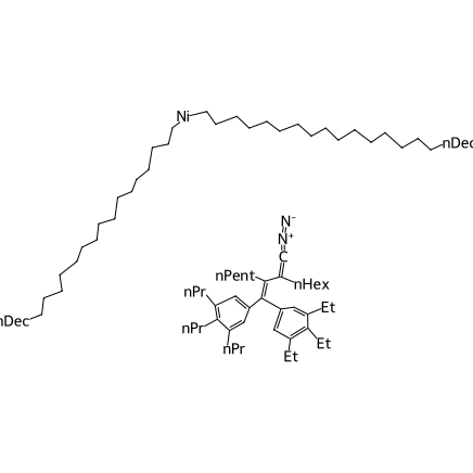 CCCCCCC(=C=[N+]=[N-])C(CCCCC)=C(c1cc(CC)c(CC)c(CC)c1)c1cc(CCC)c(CCC)c(CCC)c1.CCCCCCCCCCCCCCCCCCCCCCCCC[CH2][Ni][CH2]CCCCCCCCCCCCCCCCCCCCCCCCC